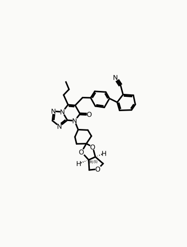 CCCc1c(Cc2ccc(-c3ccccc3C#N)cc2)c(=O)n(C2CCC3(CC2)O[C@H]2COC[C@H]2O3)c2ncnn12